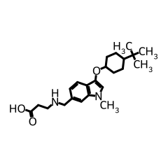 Cn1cc(OC2CCC(C(C)(C)C)CC2)c2ccc(CNCCC(=O)O)cc21